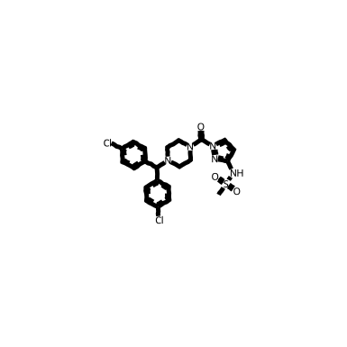 CS(=O)(=O)Nc1ccn(C(=O)N2CCN(C(c3ccc(Cl)cc3)c3ccc(Cl)cc3)CC2)n1